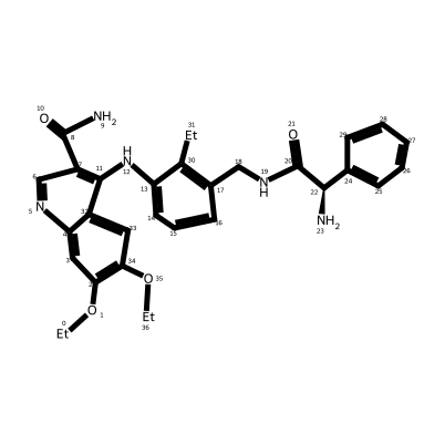 CCOc1cc2ncc(C(N)=O)c(Nc3cccc(CNC(=O)[C@H](N)c4ccccc4)c3CC)c2cc1OCC